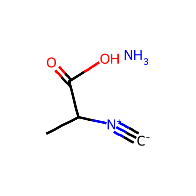 N.[C-]#[N+]C(C)C(=O)O